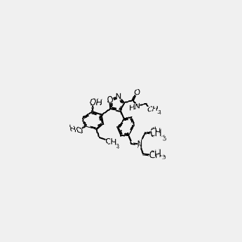 CCNC(=O)c1noc(-c2cc(CC)c(O)cc2O)c1-c1ccc(CN(CC)CC)cc1